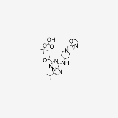 CC(=O)c1nc(NC2CCN(CC34CN3CCO4)CC2)c2ncc(C(C)C)n2n1.CC(C)(C)OC(=O)O